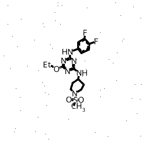 CCOc1nc(Nc2ccc(F)c(F)c2)nc(NC2CCN(S(C)(=O)=O)CC2)n1